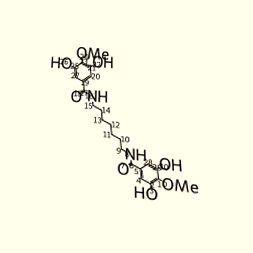 COc1c(O)cc(C(=O)NCCCCCCCNC(=O)c2cc(O)c(OC)c(O)c2)cc1O